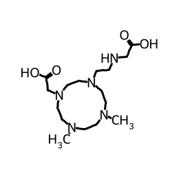 CN1CCN(C)CCN(CC(=O)O)CCN(CCNCC(=O)O)CC1